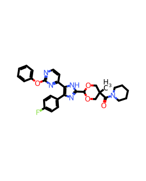 CC1(C(=O)N2CCCCC2)COC(c2nc(-c3ccc(F)cc3)c(-c3ccnc(Oc4ccccc4)n3)[nH]2)OC1